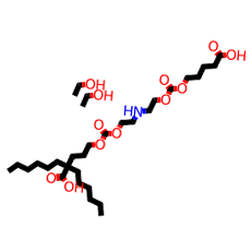 CCCCCCC(CCCCCC)(CCCOC(=O)OCCNCCOC(=O)OCCCCC(=O)O)C(=O)O.CCO.CCO